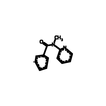 CN(C(=O)c1c[c]ccc1)c1ccccn1